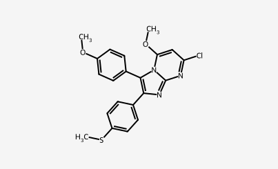 COc1ccc(-c2c(-c3ccc(SC)cc3)nc3nc(Cl)cc(OC)n23)cc1